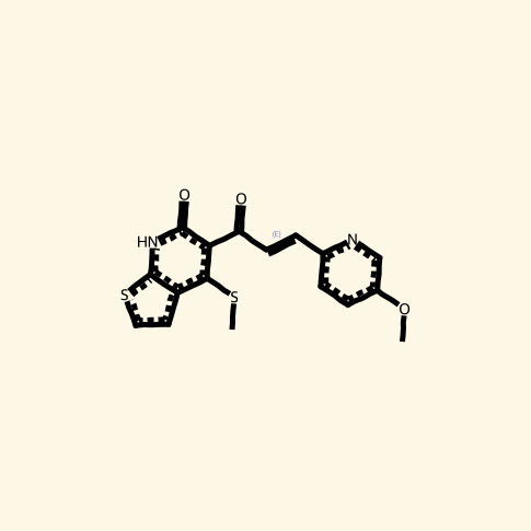 COc1ccc(/C=C/C(=O)c2c(SC)c3ccsc3[nH]c2=O)nc1